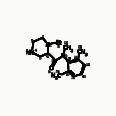 CCN1CCNCC1C(=O)N(C)c1c(C)cccc1C